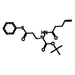 C=CCCC(=O)N[C@@H](CCC(=O)Sc1ccccc1)C(=O)OC(C)(C)C